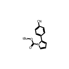 CC(C)(C)OC(=O)n1cccc1-c1ccc(C#N)cc1